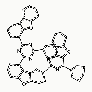 c1ccc(-c2nc(-c3cccc4c3oc3ccccc34)nc(-c3cccc4oc5ccc(-c6nc(-c7ccccc7)c7sc8ccccc8c7n6)cc5c34)n2)cc1